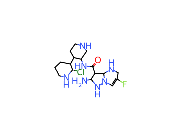 NC1NN2C=C(F)CNC2C1C(=O)NC1CNCCC1C1CCCNC1Cl